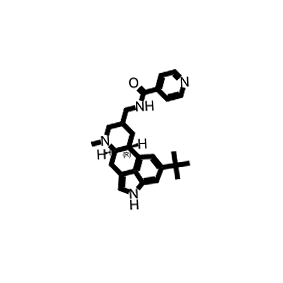 CN1CC(CNC(=O)c2ccncc2)C[C@@H]2c3cc(C(C)(C)C)cc4[nH]cc(c34)C[C@H]21